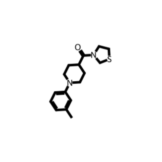 Cc1cccc(N2CCC(C(=O)N3CCSC3)CC2)c1